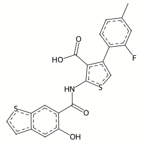 Cc1ccc(-c2csc(NC(=O)c3cc4sccc4cc3O)c2C(=O)O)c(F)c1